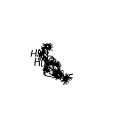 CN1C(=O)[C@H](NC(=O)c2n[nH]c(Cc3ccccc3)n2)COc2ccc(N3CC(F)(F)C3)cc21